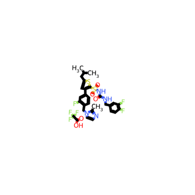 Cc1nccn1Cc1ccc(-c2cc(CC(C)C)sc2S(=O)(=O)NC(=O)NCc2ccc(F)c(F)c2)cc1F.O=C(O)C(F)(F)F